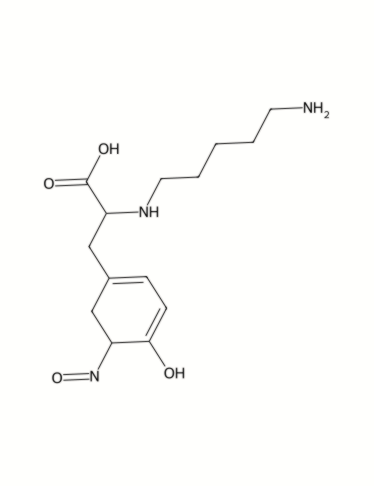 NCCCCCNC(CC1=CC=C(O)C(N=O)C1)C(=O)O